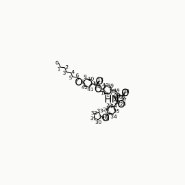 CCCCCCCOc1ccc(C(=O)Oc2ccc(C[C@H](NC(=O)c3ccc(OC4CCCC4)cc3)C(C)=O)cc2)cc1